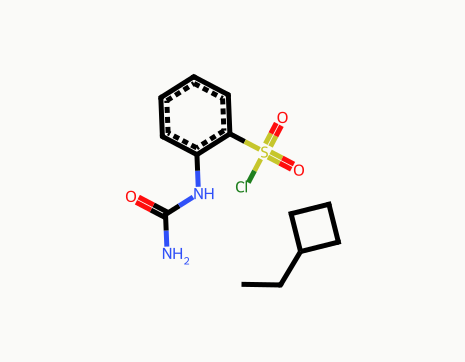 CCC1CCC1.NC(=O)Nc1ccccc1S(=O)(=O)Cl